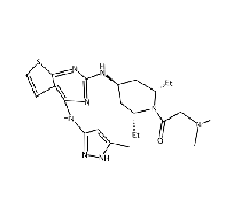 CC[C@@H]1C[C@@H](Nc2nc(Nc3cc(C)[nH]n3)c3ccsc3n2)C[C@H](CC)N1C(=O)CN(C)C